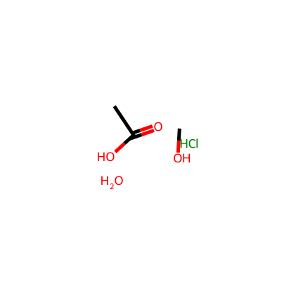 CC(=O)O.CO.Cl.O